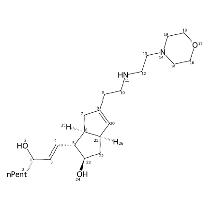 CCCCC[C@H](O)/C=C/[C@@H]1[C@H]2CC(CCNCCN3CCOCC3)=C[C@H]2C[C@H]1O